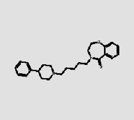 O=C1c2ccccc2OCCN1CCCCCN1CCC(c2ccccc2)CC1